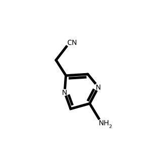 N#CCc1cnc(N)cn1